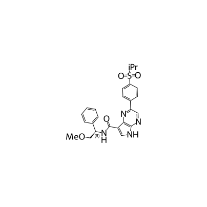 COC[C@H](NC(=O)c1c[nH]c2ncc(-c3ccc(S(=O)(=O)C(C)C)cc3)nc12)c1ccccc1